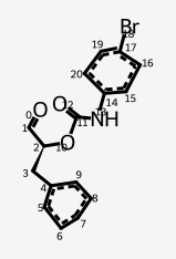 O=C[C@H](Cc1ccccc1)OC(=O)Nc1ccc(Br)cc1